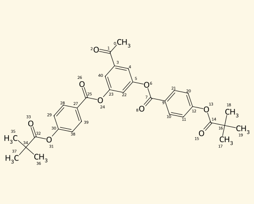 CC(=O)c1cc(OC(=O)c2ccc(OC(=O)C(C)(C)C)cc2)cc(OC(=O)c2ccc(OC(=O)C(C)(C)C)cc2)c1